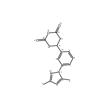 Cc1cc(C)n(-c2cccc(C3CC(=O)OC(=O)C3)c2)n1